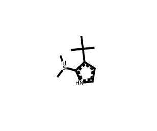 C[SiH](C)c1[nH]ccc1C(C)(C)C